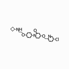 O=c1cc(OCc2ccc(Cl)cn2)ccn1-c1ccc(OCCNC2CCC2)cc1